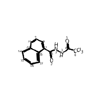 O=C(NNC(=O)C(Cl)(Cl)Cl)c1cccc2ccccc12